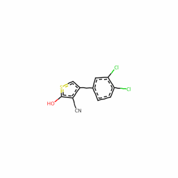 N#Cc1c(-c2ccc(Cl)c(Cl)c2)csc1O